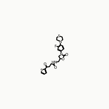 O=C(CCC(=O)c1cccs1)NCC1CN(c2ccc(N3CCSCC3)c(F)c2)C(=O)O1